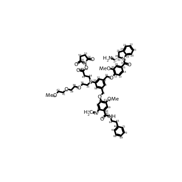 C=Nc1cc(OCc2cc(COc3ccc(C(=O)N4c5ccccc5C[C@H]4CN)cc3OC)cc(N(CCOCCOCCOC)CCC(=O)ON3C(=O)CCC3=O)c2)c(OC)cc1C(=O)NCCc1ccccc1